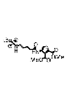 COC(=O)c1scc(NC(=O)CCCCNS(=O)(=O)C(C)(C)C)c1C(=O)OC